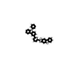 c1ccc(-n2c3ccccc3c3cc(-c4cccc(-c5nc6cc7oc8ccccc8c7cc6o5)n4)ccc32)cc1